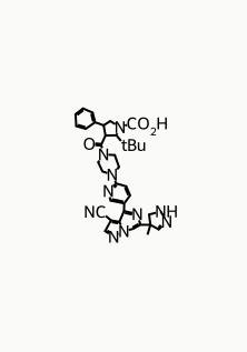 CC1(c2cn3ncc(C#N)c3c(-c3ccc(N4CCN(C(=O)C5C(c6ccccc6)CN(C(=O)O)C5C(C)(C)C)CC4)nc3)n2)C=NNC1